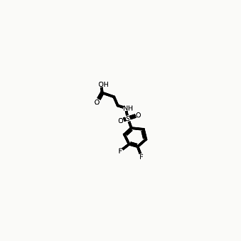 O=C(O)CCNS(=O)(=O)c1ccc(F)c(F)c1